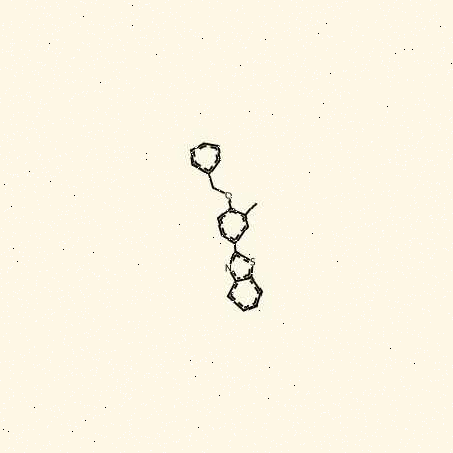 Cc1cc(-c2nc3ccccc3s2)ccc1OCc1ccccc1